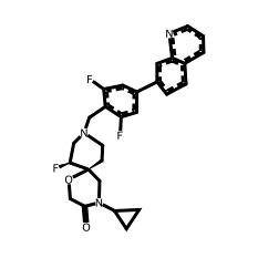 O=C1CO[C@@]2(CCN(Cc3c(F)cc(-c4ccc5cccnc5c4)cc3F)C[C@@H]2F)CN1C1CC1